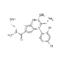 COCCN(C)C(=O)c1cn2c(-c3ccc(Cl)cc3Cl)c(CN)c(C)nc2n1